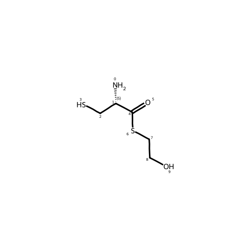 N[C@@H](CS)C(=O)SCCO